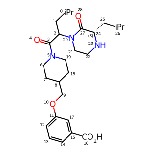 CC(C)CC(C(=O)N1CCC(COc2cccc(C(=O)O)c2)CC1)N1CCN[C@@H](CC(C)C)C1=O